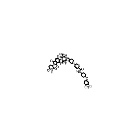 [2H]C1([2H])N(CC2CCN(c3ccc(C(=O)NC4CCC(Oc5ccc(C#N)c(Cl)c5)CC4)nn3)CC2)C([2H])([2H])C([2H])([2H])N(c2c(F)cc3c(c2F)C(=O)N(C2CCC(=O)NC2=O)C3=O)C1([2H])[2H]